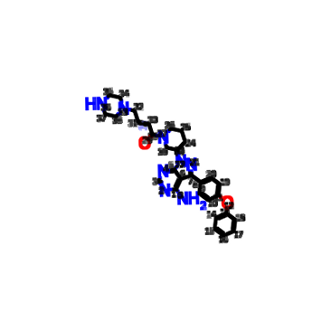 Nc1ncnc2c1c(-c1ccc(Oc3ccccc3)cc1)nn2[C@@H]1CCCN(C(=O)/C=C/CN2CCNCC2)C1